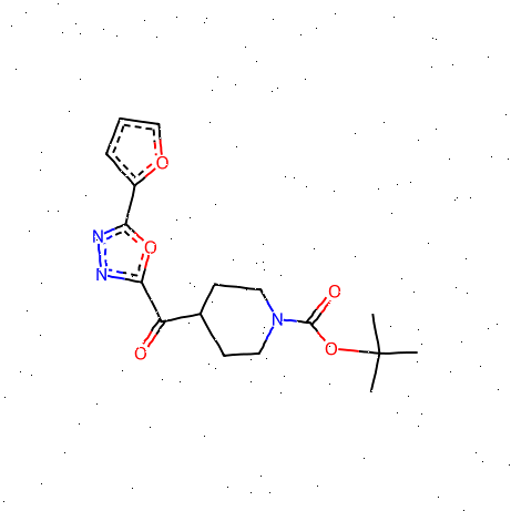 CC(C)(C)OC(=O)N1CCC(C(=O)c2nnc(-c3ccco3)o2)CC1